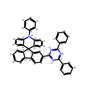 c1ccc(-c2nc(-c3ccccc3)nc(-c3ccc4c(c3)C3(c5ccccc5-4)c4ccccc4N(c4ccccc4)c4ccccc43)n2)cc1